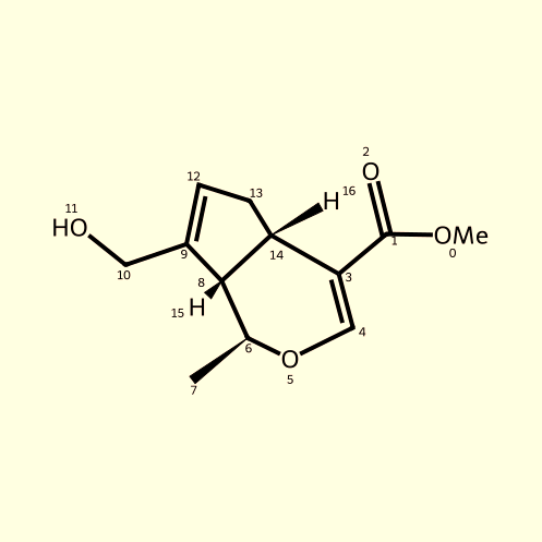 COC(=O)C1=CO[C@@H](C)[C@@H]2C(CO)=CC[C@H]12